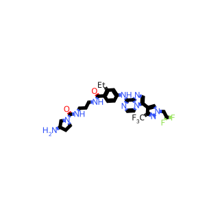 CCc1cc(Nc2nccn3c(-c4cn(CC(F)F)nc4C(F)(F)F)cnc23)ccc1C(=O)NCCCNC(=O)N1CCC(N)C1